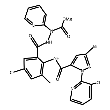 COC(=O)N(NC(=O)c1cc(Cl)cc(C)c1NC(=O)c1cc(Br)nn1-c1ncccc1Cl)c1ccccn1